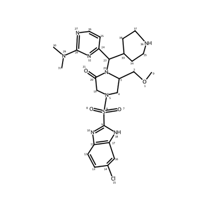 COCC1CN(S(=O)(=O)c2nc3ccc(Cl)cc3[nH]2)CC(=O)N1C(c1ccnc(N(C)C)n1)C1CCNCC1